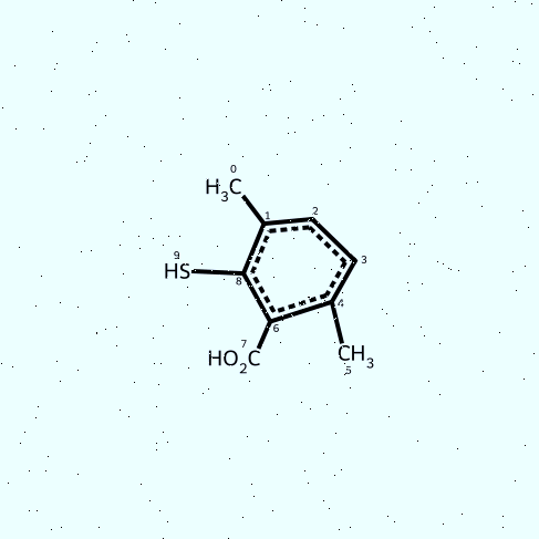 Cc1ccc(C)c(C(=O)O)c1S